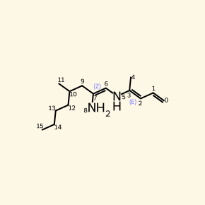 C=C/C=C(\C)N/C=C(\N)CC(C)CCCC